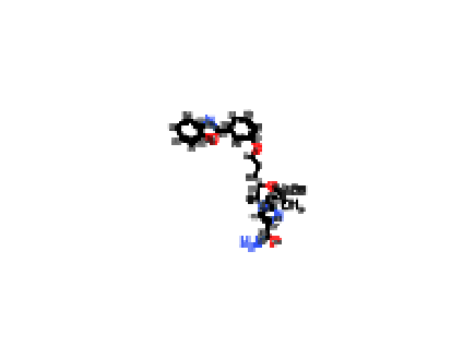 CC(C)(C)[Si](C)(C)O[C@@H](CCCOc1cccc(-c2nc3ccccc3o2)c1)Cn1cnc(C(N)=O)c1